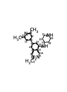 C=C/C=c1/cc(-c2cc(C)nc(C)c2)cc(NC2CCNCC2)/c1=C/N